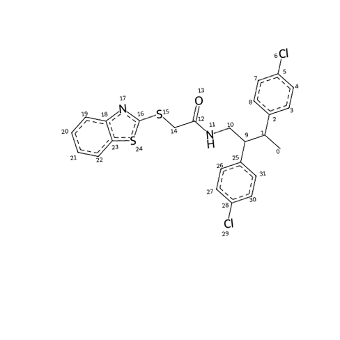 CC(c1ccc(Cl)cc1)C(CNC(=O)CSc1nc2ccccc2s1)c1ccc(Cl)cc1